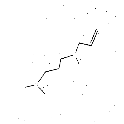 C=CC[NH+]([O-])CCCN(C)C